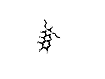 CCCn1c(=O)c2c(F)c3c(F)c(F)c(F)cc3nc2n(CCC)c1=O